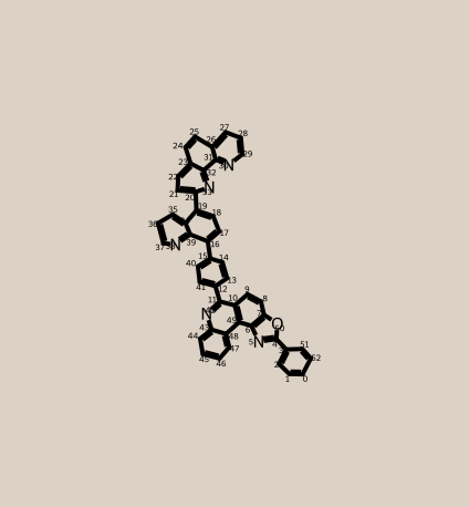 c1ccc(-c2nc3c(ccc4c(-c5ccc(-c6ccc(-c7ccc8ccc9cccnc9c8n7)c7cccnc67)cc5)nc5ccccc5c43)o2)cc1